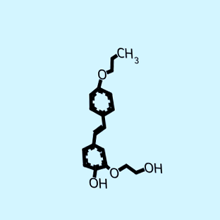 CCCOc1ccc(/C=C/c2ccc(O)c(OCCO)c2)cc1